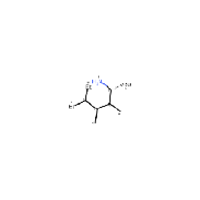 CCC(CC)C(C)C(C)[C@H](N)C(C)CC